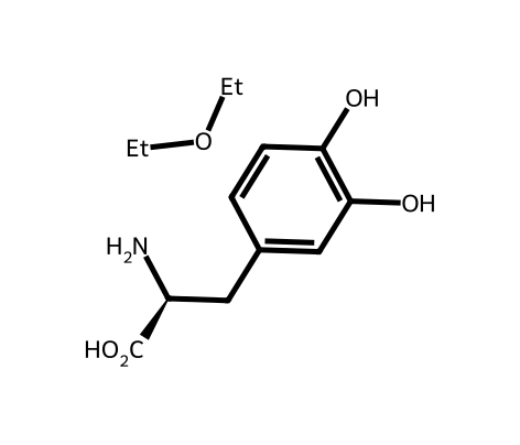 CCOCC.N[C@@H](Cc1ccc(O)c(O)c1)C(=O)O